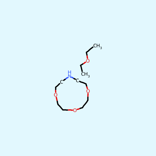 C1COCCOCCOCCN1.CCOCC